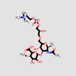 CO[C@@H]1C(C(=O)O)O[C@@H](O[C@@H]2C(NC(C)=O)[C@H](C)OC(COC[C@H](O)COP(=O)([O-])OCC[N+](C)(C)C)[C@H]2O)C(O)[C@H]1O